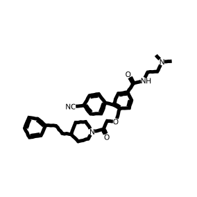 CN(C)CCNC(=O)c1ccc(OCC(=O)N2CCC(CCc3ccccc3)CC2)c(-c2ccc(C#N)cc2)c1